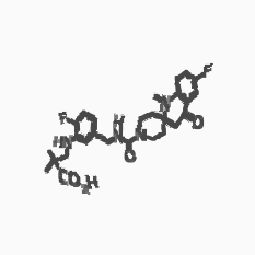 CN1c2ccc(F)cc2C(=O)CC12CCN(C(=O)NCc1ccc(F)c(NCC(C)(C)C(=O)O)c1)CC2